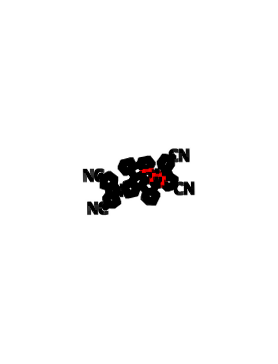 N#Cc1ccc2c(c1)c1cc(C#N)ccc1n2-c1ccc2c(-c3ccccc3-c3ccccc3)c3cc(-n4c5ccc(C#N)cc5c5cc(C#N)ccc54)ccc3c(-c3ccccc3-c3ccccc3)c2c1